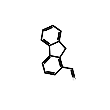 O=[C]c1cccc2c1Cc1ccccc1-2